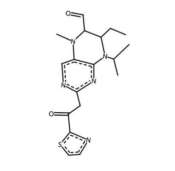 CCC1C(C=O)N(C)c2cnc(CC(=O)c3nccs3)nc2N1C(C)C